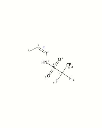 C/C=C\NS(=O)(=O)C(F)(F)C(F)(F)F